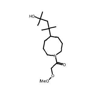 COOCC(=O)N1CCCC(C(C)(C)CC(C)(C)O)CCC1